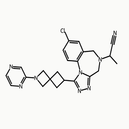 CC(C#N)N1Cc2cc(Cl)ccc2-n2c(nnc2C2CC3(C2)CN(c2cnccn2)C3)C1